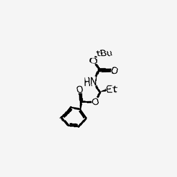 CC[C@H](NC(=O)OC(C)(C)C)OC(=O)c1ccccc1